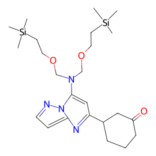 C[Si](C)(C)CCOCN(COCC[Si](C)(C)C)c1cc(C2CCCC(=O)C2)nc2ccnn12